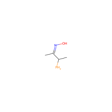 CC(=NO)C(C)P